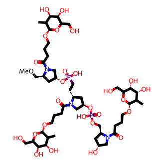 COC[C@@H]1C[C@@H](OP(=O)(O)CC[C@@H]2C[C@@H](OP(=O)(O)OC[C@@H]3C[C@@H](O)CN3C(=O)CCCO[C@@H]3OC(CO)[C@H](O)[C@H](O)C3C)CN2C(=O)CCCO[C@@H]2OC(CO)[C@H](O)[C@H](O)C2C)CN1C(=O)CCCO[C@@H]1OC(CO)[C@H](O)[C@H](O)C1C